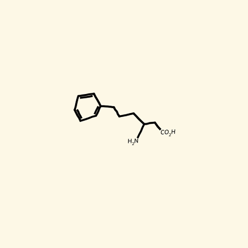 NC(CCCc1ccccc1)CC(=O)O